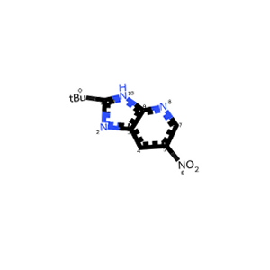 CC(C)(C)c1nc2cc([N+](=O)[O-])cnc2[nH]1